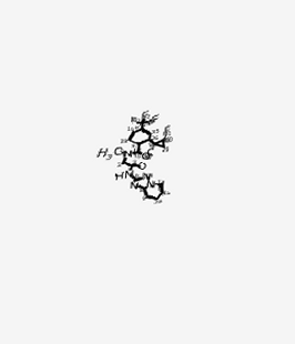 CN(CC(=O)Nc1nc2ccccn2n1)C(=O)c1ccc(C(F)(F)F)cc1[C@]1(C)C[C@H]1F